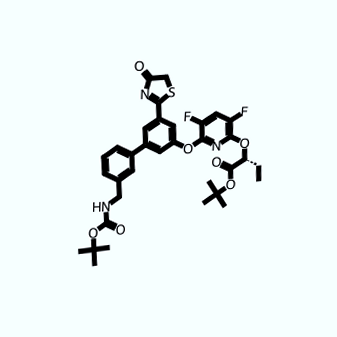 CC[C@@H](Oc1nc(Oc2cc(C3=NC(=O)CS3)cc(-c3cccc(CNC(=O)OC(C)(C)C)c3)c2)c(F)cc1F)C(=O)OC(C)(C)C